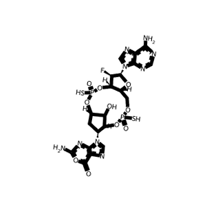 Nc1nc2c(ncn2[C@@H]2C[C@@H]3OP(=O)(S)O[C@H]4[C@@H](F)[C@H](n5cnc6c(N)ncnc65)O[C@@H]4COP(=O)(S)O[C@@H]2C3O)c(=O)o1